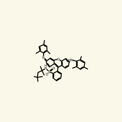 Cc1cc(C)c(/N=c2/ccc3c(-c4ccccc4S(=O)(=O)NC(C)(C)CC(C)(C)C)c4ccc(Nc5c(C)cc(C)cc5C)cc4oc-3c2)c(C)c1